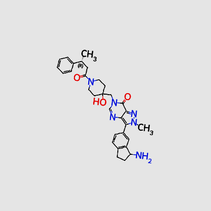 C[C@H](CC(=O)N1CCC(O)(Cn2cnc3c(-c4ccc5c(c4)C(N)CC5)n(C)nc3c2=O)CC1)c1ccccc1